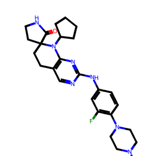 CC(C)N1CCN(c2ccc(Nc3ncc4c(n3)N(C3CCCC3)C3(CCNC3=O)CC4)cc2F)CC1